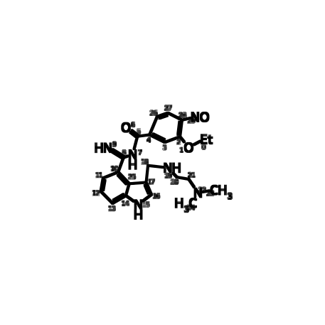 CCOc1cc(C(=O)NC(=N)c2cccc3[nH]cc(CNCCN(C)C)c23)ccc1N=O